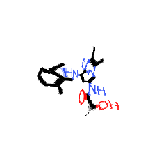 Cc1cccc(C)c1CNc1cc(NC(=O)[C@@H](C)O)cn2c(C)c(C)nc12